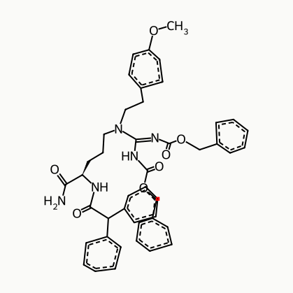 COc1ccc(CCN(CCC[C@@H](NC(=O)C(c2ccccc2)c2ccccc2)C(N)=O)C(=NC(=O)OCc2ccccc2)NC(=O)OCc2ccccc2)cc1